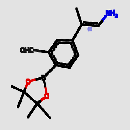 C/C(=C\N)c1ccc(B2OC(C)(C)C(C)(C)O2)c(C=O)c1